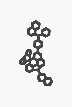 c1ccc(N(c2ccc(-c3cc4c5c(ccc6c5c5c(cccc5n6-c5ccc6ccccc6c5)C45c4ccccc4-c4ccccc45)c3)cc2)c2cccc3ccccc23)cc1